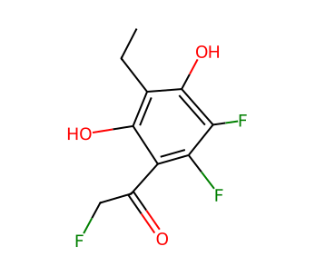 CCc1c(O)c(F)c(F)c(C(=O)CF)c1O